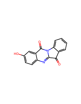 O=C1c2ccccc2-n2c1nc1ccc(O)cc1c2=O